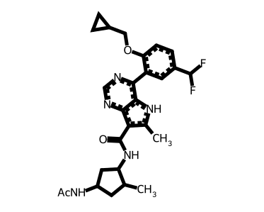 CC(=O)NC1CC(C)C(NC(=O)c2c(C)[nH]c3c(-c4cc(C(F)F)ccc4OCC4CC4)ncnc23)C1